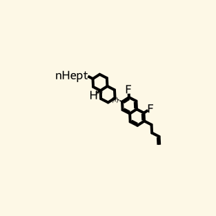 C=CCCc1ccc2cc([C@@H]3CC[C@@H]4CC(CCCCCCC)CCC4C3)c(F)cc2c1F